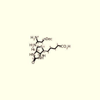 CCCCCCCCCCCC(N)N.O=C(O)CCCC[C@@H]1SC[C@@H]2NC(=O)N[C@@H]21